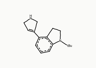 CC(C)(C)N1CCc2c(C3=CCNC3)cccc21